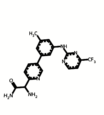 Cc1cc(Nc2nccc(C(F)(F)F)n2)cc(-c2ccc(C(N)C(N)=O)nc2)c1